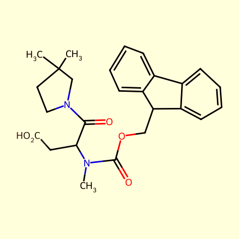 CN(C(=O)OCC1c2ccccc2-c2ccccc21)C(CC(=O)O)C(=O)N1CCC(C)(C)C1